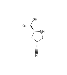 N#C[C@H]1CN[C@H](C(=O)O)C1